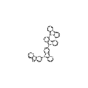 c1ccc2c(c1)oc1ccc(-n3c4ccccc4c4cc(-n5c6ccccc6c6c(-n7c8ccccc8c8ccccc87)cccc65)ccc43)cc12